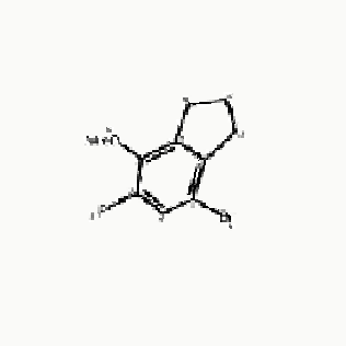 COc1c(F)cc(Br)c2c1CCC2